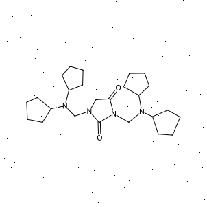 O=C1CN(CN(C2CCCC2)C2CCCC2)C(=O)N1CN(C1CCCC1)C1CCCC1